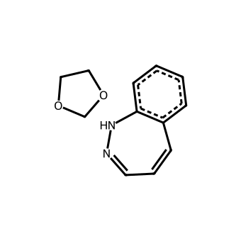 C1=Cc2ccccc2NN=C1.C1COCO1